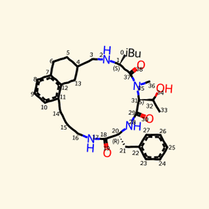 CCC(C)[C@@H]1NCC2CCc3cccc(c3C2)CCCNC(=O)[C@@H](Cc2ccccc2)NC(=O)[C@H](C(C)O)N(C)C1=O